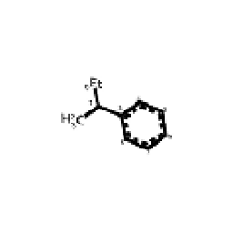 [CH2]C[C](C)c1ccccc1